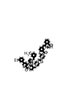 CCc1cccc(-c2cnc(C(=O)N3CCC(CN4CCN(CC(=O)N5CCN(C(=O)c6cc(Cc7n[nH]c(=O)c8ccccc78)ccc6F)CC5)CC4)CC3)c(Nc3ccn(Cc4cccc(C)c4)n3)c2)c1